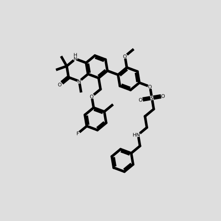 COc1cc(OS(=O)(=O)CCCNCc2ccccc2)ccc1-c1ccc2c(c1COc1cc(F)ccc1C)N(C)C(=O)C(C)(C)N2